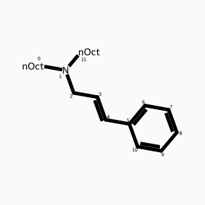 CCCCCCCCN(CC=Cc1ccccc1)CCCCCCCC